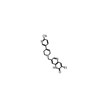 CCc1cc2ncc(CN3CC=C(c4ccc(C#N)nc4)CC3)cc2[nH]c1=O